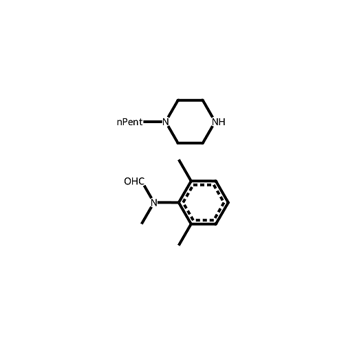 CCCCCN1CCNCC1.Cc1cccc(C)c1N(C)C=O